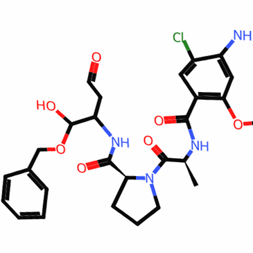 COc1cc(N)c(Cl)cc1C(=O)N[C@@H](C)C(=O)N1CCC[C@H]1C(=O)NC(CC=O)C(O)OCc1ccccc1